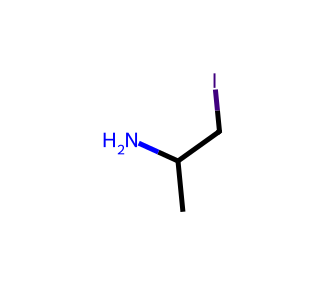 CC(N)CI